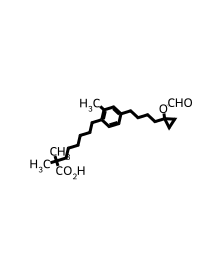 Cc1cc(CCCCC2(OC=O)CC2)ccc1CCCCCCC(C)(C)C(=O)O